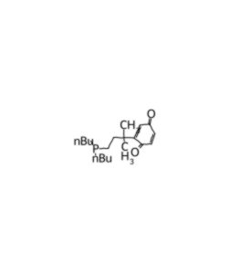 CCCCP(CCCC)CCC(C)(C)C1=CC(=O)C=CC1=O